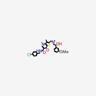 COc1cccc(C(O)CN(C)Cc2sc3c(=O)c(C(=O)NCc4ccc(Cl)cc4)cn(C)c3c2C)c1